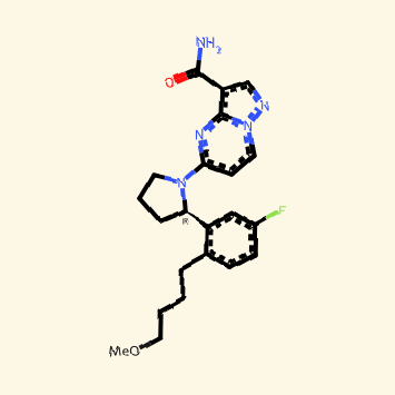 COCCCCc1ccc(F)cc1[C@H]1CCCN1c1ccn2ncc(C(N)=O)c2n1